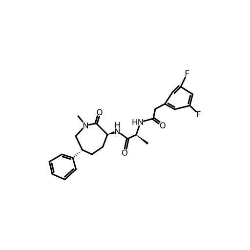 C[C@H](NC(=O)Cc1cc(F)cc(F)c1)C(=O)N[C@H]1CC[C@H](c2ccccc2)CN(C)C1=O